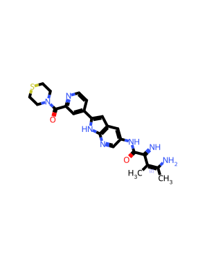 C/C(N)=C(\C)C(=N)C(=O)Nc1cnc2[nH]c(-c3ccnc(C(=O)N4CCSCC4)c3)cc2c1